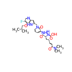 CC(C)COc1c(F)cnc2cc(Cn3cccc(NC(=O)[C@H](CC/C=C/C(=O)N(C)C)NC(=O)O)c3=O)[nH]c12